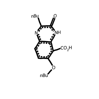 CCCCOc1ccc2nc(CCCC)c(=O)[nH]c2c1C(=O)O